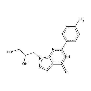 O=c1[nH]c(-c2ccc(C(F)(F)F)cc2)nc2c1ccn2CC(O)CO